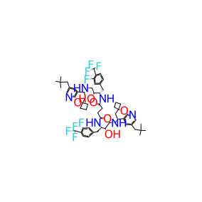 CC(C)(C)Cc1cnc2c(c1)[C@@H](NC[C@@H](O)[C@@H](Cc1ccc(C(F)(F)F)c(F)c1)NC(=O)CCC(=O)N[C@@H](Cc1ccc(C(F)(F)F)c(F)c1)[C@@H](O)CN[C@H]1CC3(CCC3)Oc3ncc(CC(C)(C)C)cc31)CC1(CCC1)O2